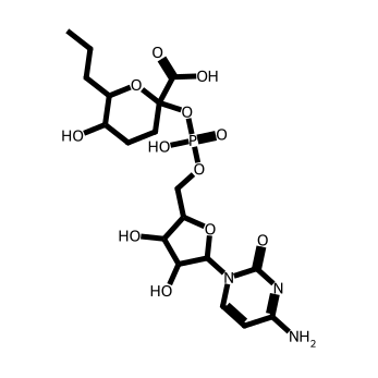 CCCC1OC(OP(=O)(O)OCC2OC(n3ccc(N)nc3=O)C(O)C2O)(C(=O)O)CCC1O